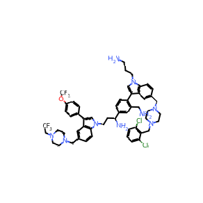 NCCCn1cc(-c2ccc(C(N)CCn3cc(-c4ccc(OC(F)(F)F)cc4)c4cc(CN5CCN(CC(F)(F)F)CC5)ccc43)cc2CN)c2cc(CN3CCN(Cc4c(Cl)cccc4Cl)CC3)ccc21